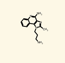 Cc1nc2c(N)nc3ccccc3c2n1CCCN